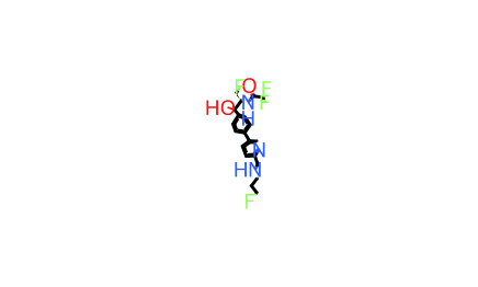 O=C(N[C@@H](CF)[C@H](O)c1ccc(-c2ccc(CNCCCF)nc2)cc1)C(F)F